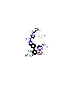 C=CC(=O)N1C[C@@H](Nc2ncc3cc(-c4c(Cl)c(OC)cc(OC)c4-n4ccc(N)nc4=O)ccc3n2)C[C@H]1C(=O)OCC